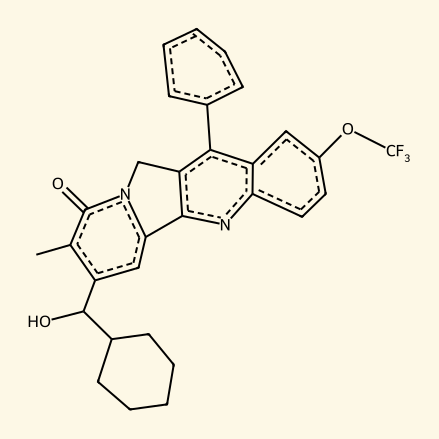 Cc1c(C(O)C2CCCCC2)cc2n(c1=O)Cc1c-2nc2ccc(OC(F)(F)F)cc2c1-c1ccccc1